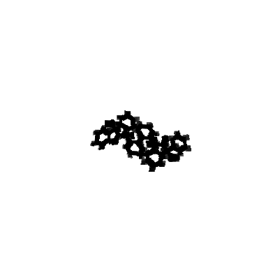 O=C(Nc1ccccc1-c1ccccc1NC(=O)C(O)(c1ccccc1)c1ccccc1)C(O)(c1ccccc1)c1ccccc1